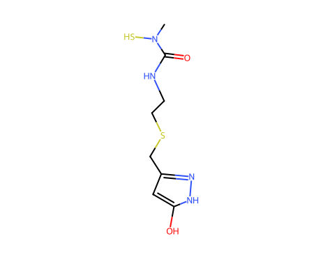 CN(S)C(=O)NCCSCc1cc(O)[nH]n1